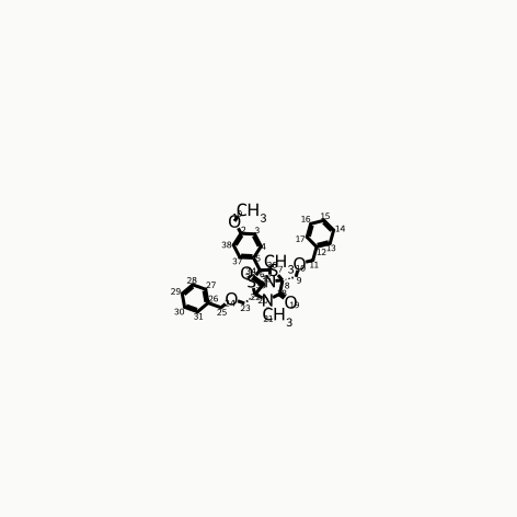 COc1ccc(C2S[C@@]3(COCc4ccccc4)C(=O)N(C)[C@@](COCc4ccccc4)(S2)C(=O)N3C)cc1